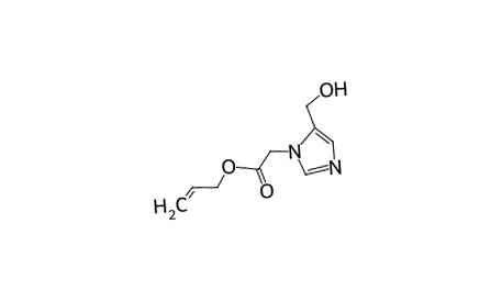 C=CCOC(=O)Cn1cncc1CO